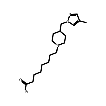 Cc1cnn(CC2CCN(CCCCCCCC(=O)C(C)C)CC2)c1